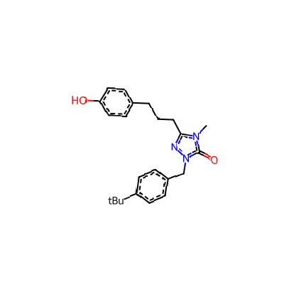 Cn1c(CCCc2ccc(O)cc2)nn(Cc2ccc(C(C)(C)C)cc2)c1=O